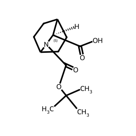 CC(C)(C)OC(=O)N1C2CCC(CC2)[C@H]1C(=O)O